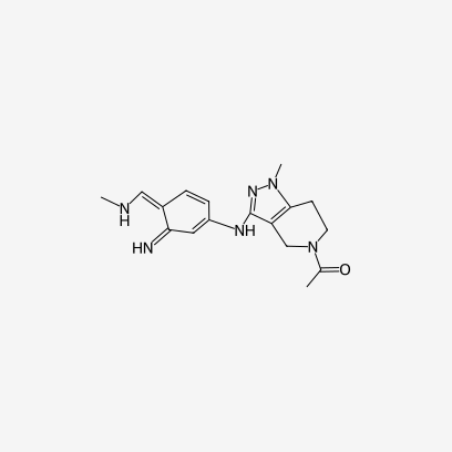 CN/C=C1/C=CC(Nc2nn(C)c3c2CN(C(C)=O)CC3)=CC1=N